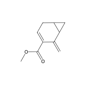 C=C1C(C(=O)OC)=CCC2CC12